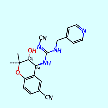 CC1(C)Oc2ccc(C#N)cc2[C@H](NC(=NC#N)NCc2ccncc2)[C@H]1O